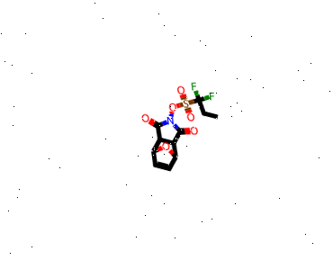 CCC(F)(F)S(=O)(=O)ON1C(=O)C2C3C=CC(O3)C2C1=O